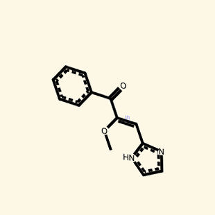 CO/C(=C\c1ncc[nH]1)C(=O)c1ccccc1